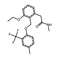 CCOc1cccc(CC(=O)NC)c1COc1ccc(C)cc1C(F)(F)F